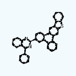 c1ccc(-c2nc(-c3ccc4c(c3)c3ccccc3c3cc5sc6ccccc6c5cc43)nc3ccccc23)cc1